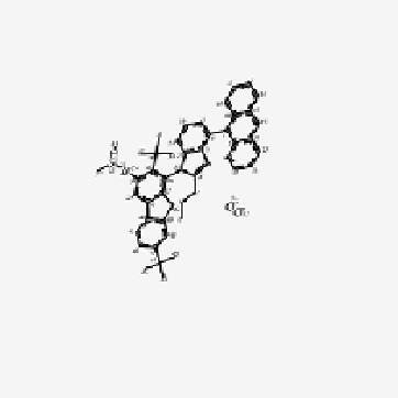 CCCC1=Cc2c(-c3c4ccccc4cc4ccccc34)cccc2C1c1c2c(c[c]([Zr+2][SiH](C)C)c1C(C)(C)C)-c1ccc(C(C)(C)C)cc1C2.[Cl-].[Cl-]